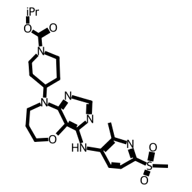 Cc1nc(S(C)(=O)=O)ccc1Nc1ncnc2c1OCCCN2C1CCN(C(=O)OC(C)C)CC1